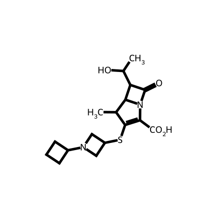 CC(O)C1C(=O)N2C(C(=O)O)=C(SC3CN(C4CCC4)C3)C(C)C12